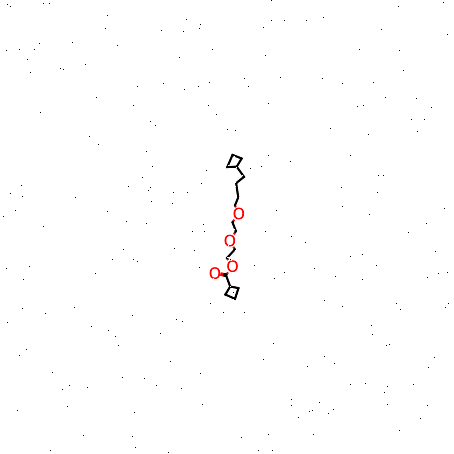 O=C(OCCOCCOCCCCC1CCC1)C1CCC1